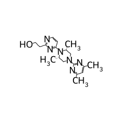 Cc1cc(C)nc(N2C[C@@H](C)N(c3ccnc(CCO)n3)[C@@H](C)C2)n1